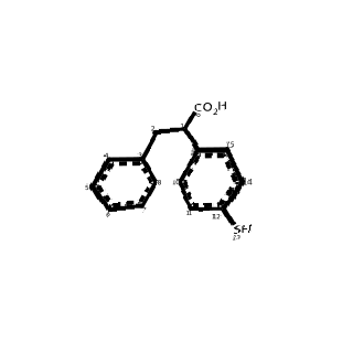 O=C(O)C(Cc1ccccc1)c1ccc(S)cc1